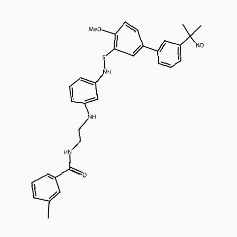 COc1ccc(-c2cccc(C(C)(C)N=O)c2)cc1SNc1cccc(NCCNC(=O)c2cccc(C)c2)c1